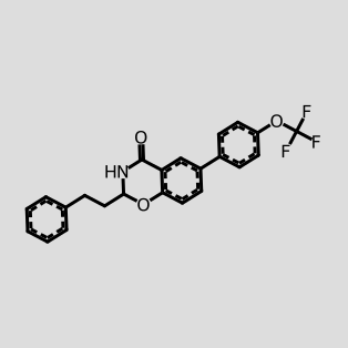 O=C1NC(CCc2ccccc2)Oc2ccc(-c3ccc(OC(F)(F)F)cc3)cc21